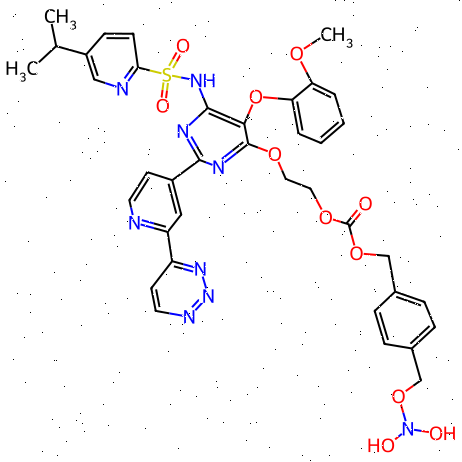 COc1ccccc1Oc1c(NS(=O)(=O)c2ccc(C(C)C)cn2)nc(-c2ccnc(-c3ccnnn3)c2)nc1OCCOC(=O)OCc1ccc(CON(O)O)cc1